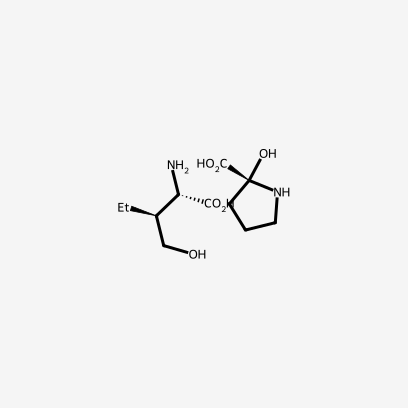 CC[C@H](CO)[C@H](N)C(=O)O.O=C(O)[C@]1(O)CCCN1